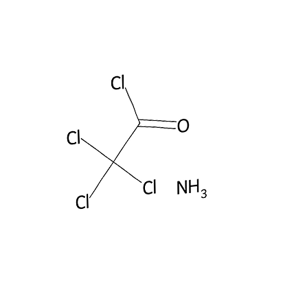 N.O=C(Cl)C(Cl)(Cl)Cl